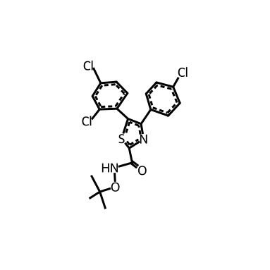 CC(C)(C)ONC(=O)c1nc(-c2ccc(Cl)cc2)c(-c2ccc(Cl)cc2Cl)s1